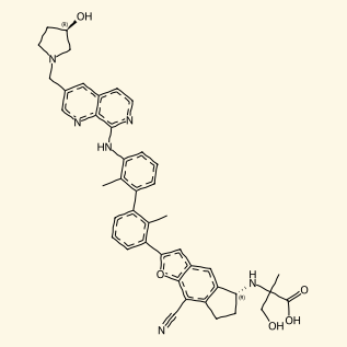 Cc1c(Nc2nccc3cc(CN4CC[C@@H](O)C4)cnc23)cccc1-c1cccc(-c2cc3cc4c(c(C#N)c3o2)CC[C@H]4NC(C)(CO)C(=O)O)c1C